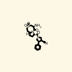 N#CC1CN(C(=O)[C@@H]2CC[C@@H]3CCS(=O)(=O)C[C@H](N)C(=O)N32)CC1c1ccccc1